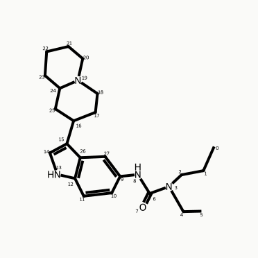 CCCN(CC)C(=O)Nc1ccc2[nH]cc(C3CCN4CCCCC4C3)c2c1